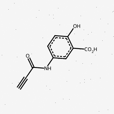 C#CC(=O)Nc1ccc(O)c(C(=O)O)c1